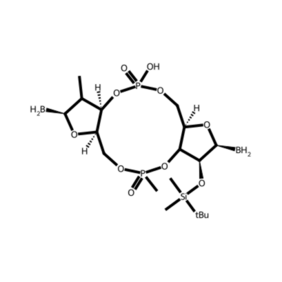 B[C@@H]1O[C@@H]2COP(C)(=O)OC3[C@@H](COP(=O)(O)O[C@@H]2C1C)O[C@@H](B)[C@H]3O[Si](C)(C)C(C)(C)C